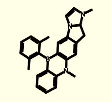 Cc1cccc(C)c1B1c2ccccc2N(C)c2cc3c(cc21)N1C=CN(C)C1C3